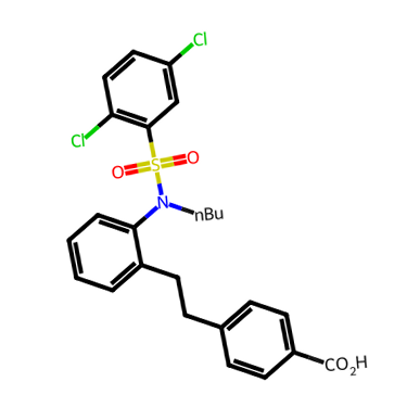 CCCCN(c1ccccc1CCc1ccc(C(=O)O)cc1)S(=O)(=O)c1cc(Cl)ccc1Cl